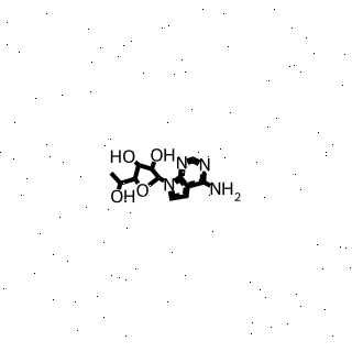 CC(O)C1OC(n2ccc3c(N)ncnc32)C(O)C1O